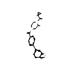 CC1CN(C(=O)c2ccc(-c3ccc4cn(C)nc4c3)cc2)CCN1C(=O)C1(O)CC1